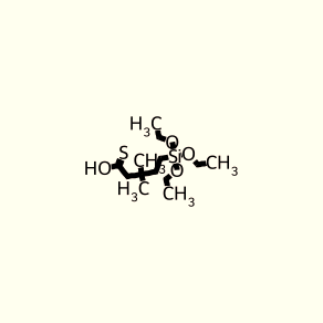 CCO[Si](CCC(C)(C)CC(O)=S)(OCC)OCC